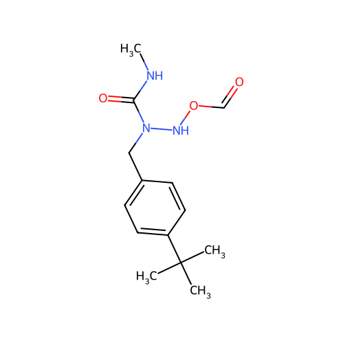 CNC(=O)N(Cc1ccc(C(C)(C)C)cc1)NOC=O